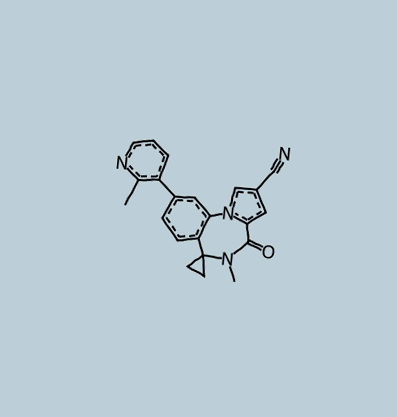 Cc1ncccc1-c1ccc2c(c1)-n1cc(C#N)cc1C(=O)N(C)C21CC1